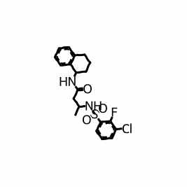 CC(CC(=O)NC1CCCc2ccccc21)NS(=O)(=O)c1cccc(Cl)c1F